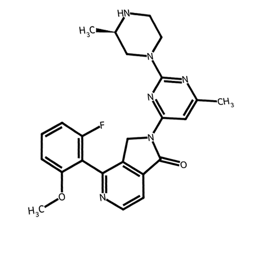 COc1cccc(F)c1-c1nccc2c1CN(c1cc(C)nc(N3CCN[C@H](C)C3)n1)C2=O